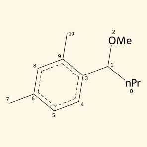 CCCC(OC)c1ccc(C)cc1C